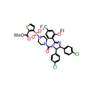 CCOc1cc(C(F)(F)F)ccc1C1=NC(c2ccc(Cl)cc2)C(c2ccc(Cl)cc2)N1C(=O)N1CCN(S(=O)(=O)c2ccsc2C(=O)OC)CC1